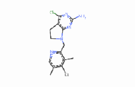 CCc1c(C)cnc(CN2CCc3c(Cl)nc(N)nc32)c1C